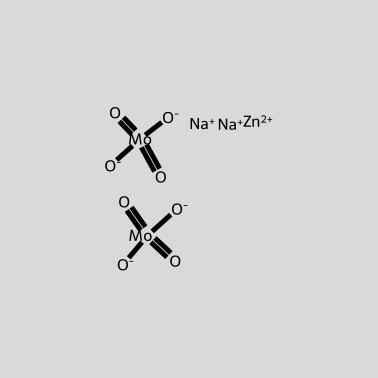 [Na+].[Na+].[O]=[Mo](=[O])([O-])[O-].[O]=[Mo](=[O])([O-])[O-].[Zn+2]